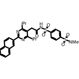 CNS(=O)(=O)c1ccc(S(=O)(=O)NC(=O)Cc2c(C(C)C)nc(-c3ccc4ccccc4c3)nc2C(C)C)cc1